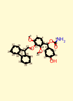 COc1ccc(C(OC(N)=O)c2ccc(O)cc2)c(OC)c1OCC1c2ccccc2-c2ccccc21